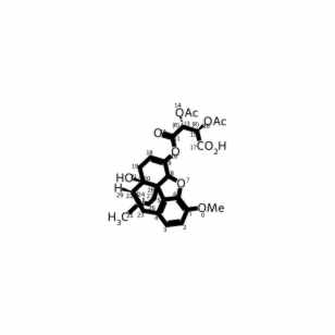 COc1ccc2c3c1OC1C(OC(=O)[C@H](OC(C)=O)[C@@H](OC(C)=O)C(=O)O)=CC[C@@]4(O)[C@@H](C2)N(C)CCC314